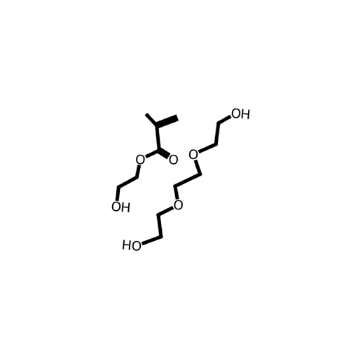 C=C(C)C(=O)OCCO.OCCOCCOCCO